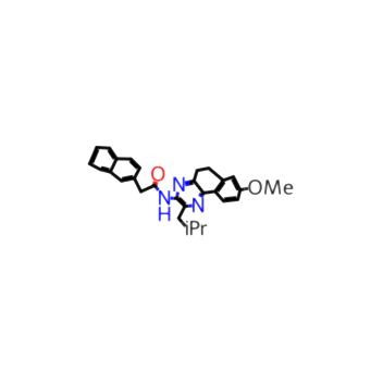 COc1ccc2c(c1)CCc1nc(NC(=O)Cc3ccc4ccccc4c3)c(CC(C)C)nc1-2